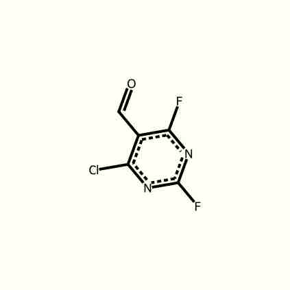 O=Cc1c(F)nc(F)nc1Cl